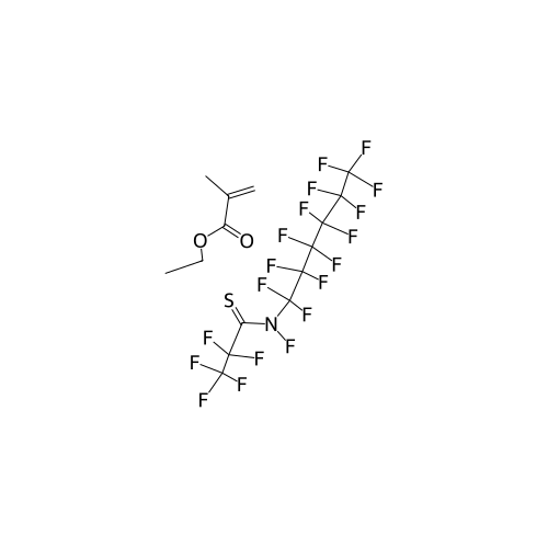 C=C(C)C(=O)OCC.FN(C(=S)C(F)(F)C(F)(F)F)C(F)(F)C(F)(F)C(F)(F)C(F)(F)C(F)(F)C(F)(F)F